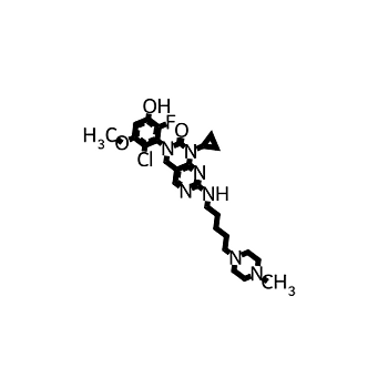 COc1cc(O)c(F)c(N2Cc3cnc(NCCCCCN4CCN(C)CC4)nc3N(C3CC3)C2=O)c1Cl